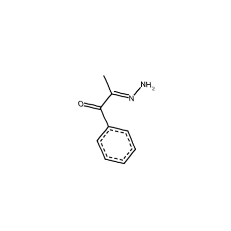 CC(=NN)C(=O)c1ccccc1